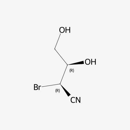 N#C[C@@H](Br)[C@H](O)CO